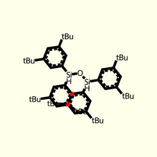 CC(C)(C)c1cc([SiH](O[SiH](c2cc(C(C)(C)C)cc(C(C)(C)C)c2)c2cc(C(C)(C)C)cc(C(C)(C)C)c2)c2cc(C(C)(C)C)cc(C(C)(C)C)c2)cc(C(C)(C)C)c1